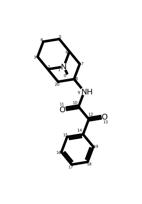 CN1C2CCCC1CC(NC(=O)C(=O)c1ccccc1)C2